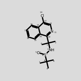 CC(C)(N[S+]([O-])C(C)(C)C)c1ncc(Cl)c2ccccc12